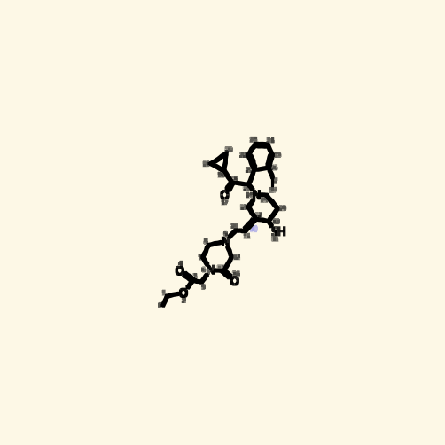 CCOC(=O)CN1CCN(C/C=C2\CN(C(C(=O)C3CC3)c3ccccc3F)CCC2S)CC1=O